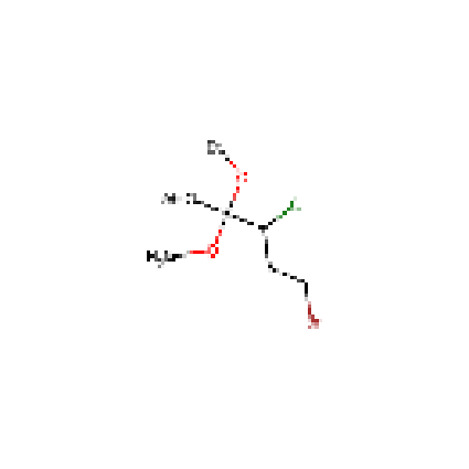 CCOC(OC)(O[SiH3])C(Cl)CCBr